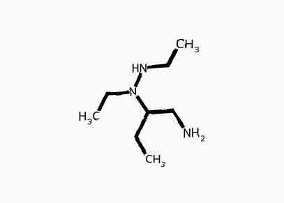 CCNN(CC)C(CC)CN